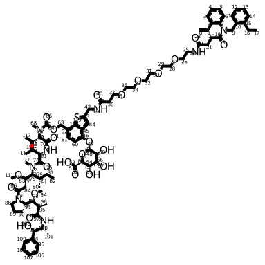 C=Cc1ccccc1N(Cc1ccccc1CC)C(=O)CCC(=O)NCCOCCOCCOCCOCCC(=O)NCc1cc2c(O[C@@H]3O[C@H](C(=O)O)[C@@H](O)[C@H](O)[C@H]3O)ccc(COC(=O)N(C)[C@H](C(=O)N[C@H](C(=O)N(C)[C@@H]([C@@H](C)CC)[C@@H](CC(=O)N3CCC[C@H]3[C@H](OC)[C@@H](C)C(=O)N[C@H](C)[C@@H](O)c3ccccc3)OC)C(C)C)C(C)C)c2s1